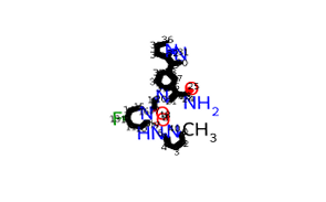 Cc1cccc(NC(=O)[C@@H]2CCC(F)CCN2C(=O)Cn2cc(C(N)=O)c3cc(-c4cnn5c4CCC5)ccc32)n1